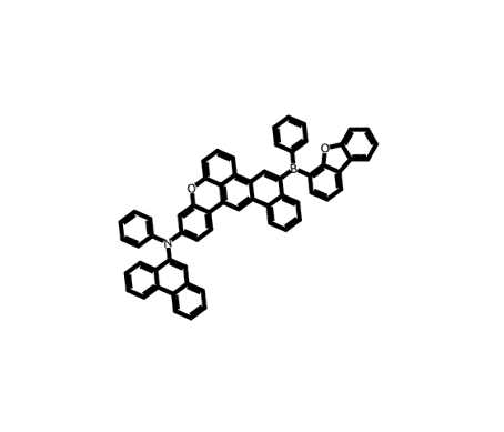 c1ccc(B(c2cc3c4cccc5c4c(cc3c3ccccc23)-c2ccc(N(c3ccccc3)c3cc4ccccc4c4ccccc34)cc2O5)c2cccc3c2oc2ccccc23)cc1